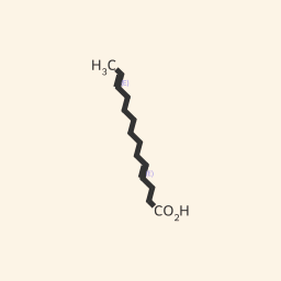 C/C=C/CCCCCC/C=C/CCC(=O)O